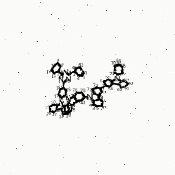 c1ccc(-c2nc(-c3ccccc3)nc(-c3ccc(-n4c5ccccc5c5ccccc54)c(-n4c5ccccc5c5cc(-n6c7ccccc7c7cc(-c8ccc9c(c8)c8ccccc8n9-c8ccccc8)ccc76)ccc54)c3)n2)cc1